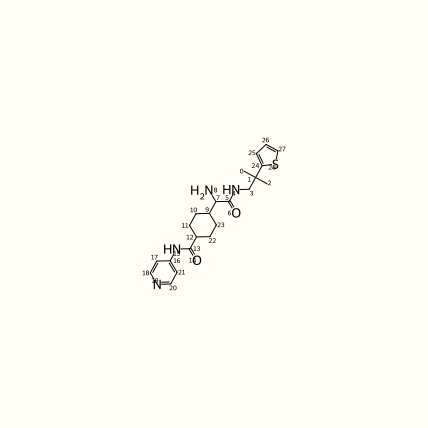 CC(C)(CNC(=O)C(N)C1CCC(C(=O)Nc2ccncc2)CC1)c1cccs1